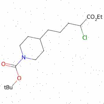 CCOC(=O)C(Cl)CCCC1CCN(C(=O)OC(C)(C)C)CC1